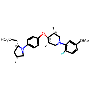 COc1ccc(F)c(N2C[C@@H](C)[C@H](Oc3ccc(N4C[C@H](C)C[C@@H]4CC(=O)O)cc3)[C@@H](C)C2)c1